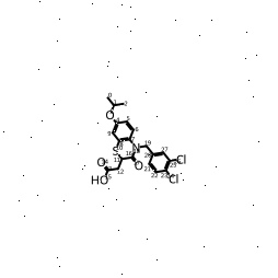 CC(C)Oc1ccc2c(c1)SC(CC(=O)O)C(=O)N2Cc1ccc(Cl)c(Cl)c1